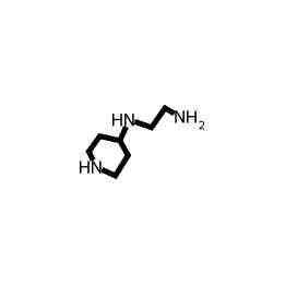 NCCNC1CCNCC1